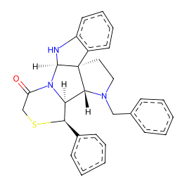 O=C1CS[C@H](c2ccccc2)[C@@H]2[C@H]3N(Cc4ccccc4)CC[C@]34c3ccccc3N[C@@H]4N12